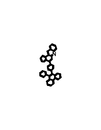 c1ccc(-c2c(-c3ccc(-c4cc5nc6ccccc6cc5c5ccccc45)cc3)c3ccccc3c3ccccc23)cc1